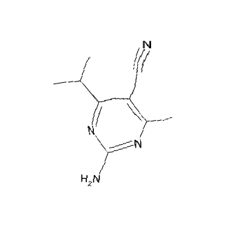 Cc1nc(N)nc(C(C)C)c1C#N